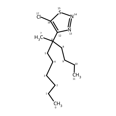 CCCCCCC(C)(CCCC)c1nnsc1Cl